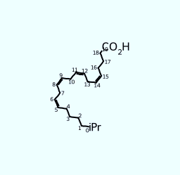 CC(C)CCCC/C=C\C/C=C\C/C=C\C/C=C\CCCC(=O)O